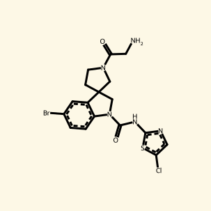 NCC(=O)N1CCC2(C1)CN(C(=O)Nc1ncc(Cl)s1)c1ccc(Br)cc12